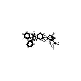 COC(=O)[C@@H]1C[C@@H]2C[C@H]1[C@]1(C2)OOC2(CCCC(O[Si](c3ccccc3)(c3ccccc3)C(C)(C)C)C2)O1